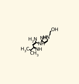 CC(C)C(=N)/C=C(/N)NC(=N)/C=C\NCCO